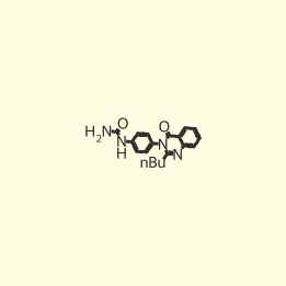 CCCCc1nc2ccccc2c(=O)n1-c1ccc(NC(N)=O)cc1